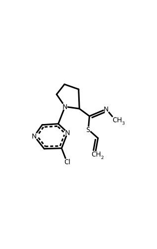 C=CS/C(=N\C)C1CCCN1c1cncc(Cl)n1